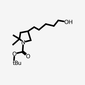 CC(C)(C)OC(=O)N1CC(CCCCCO)CC1(C)C